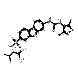 Cc1noc(C)c1NC(=O)Nc1ccc2c(c1)sc1cc(S(=O)(=O)N[C@H](C(=O)O)C(C)C)ccc12